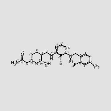 CCN(Cc1ccc(C(F)(F)F)cc1F)c1ncnc(NCC2CCN(CC(N)=O)C[C@H]2O)c1F